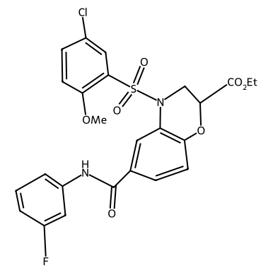 CCOC(=O)C1CN(S(=O)(=O)c2cc(Cl)ccc2OC)c2cc(C(=O)Nc3cccc(F)c3)ccc2O1